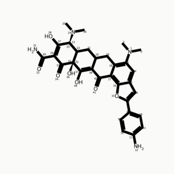 CN(C)c1cc2cc(-c3ccc(N)cc3)oc2c2c1CC1CC3[C@H](N(C)C)C(O)=C(C(N)=O)C(=O)[C@@]3(O)C(O)=C1C2=O